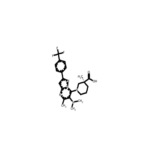 Cc1nc2cc(-c3ccc(C(F)(F)F)cc3)nn2c(N2CCC[C@](C)(C(=O)O)C2)c1N(C)C